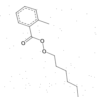 CCCCCCOOC(=O)c1ccccc1C